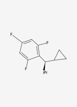 CC(C)[C@@H](c1c(F)cc(F)cc1F)C1CC1